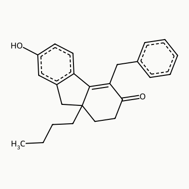 CCCCC12CCC(=O)C(Cc3ccccc3)=C1c1ccc(O)cc1C2